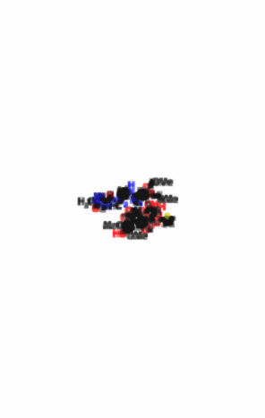 C#Cc1cccc(Nc2ncnc3cc(OCCOC)c(OCCOC)cc23)c1.COc1cc([C@@H]2c3cc4c(cc3[C@@H](O[C@@H]3O[C@@H]5COC(c6cccs6)O[C@H]5[C@H](O)[C@H]3O)[C@H]3COC(=O)[C@H]23)OCO4)cc(OC)c1O.Cn1nnc2c(C(N)=O)ncn2c1=O